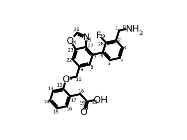 NCc1cccc(-c2cc(COc3ccccc3CC(=O)O)cc3ocnc23)c1F